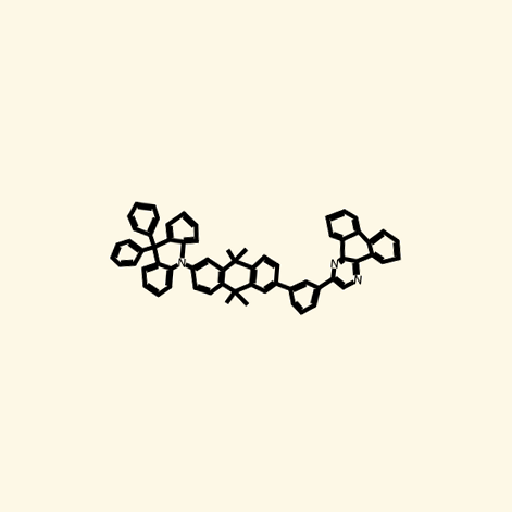 CC1(C)c2ccc(N3c4ccccc4C(c4ccccc4)(c4ccccc4)c4ccccc43)cc2C(C)(C)c2ccc(-c3cccc(-c4cnc5c6ccccc6c6ccccc6c5n4)c3)cc21